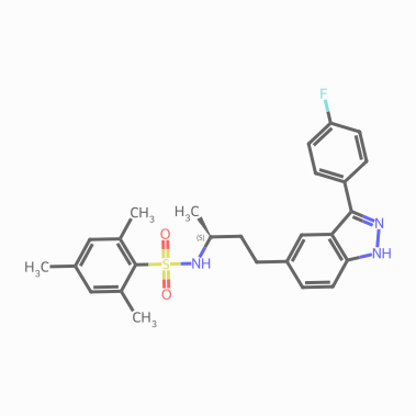 Cc1cc(C)c(S(=O)(=O)N[C@@H](C)CCc2ccc3[nH]nc(-c4ccc(F)cc4)c3c2)c(C)c1